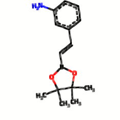 CC1(C)OB(C=Cc2cccc(N)c2)OC1(C)C